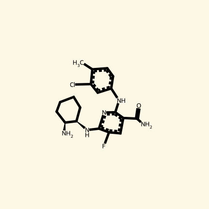 Cc1ccc(Nc2nc(N[C@@H]3CCCC[C@@H]3N)c(F)cc2C(N)=O)cc1Cl